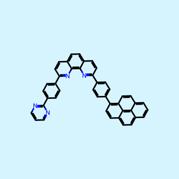 c1cnc(-c2ccc(-c3ccc4ccc5ccc(-c6ccc(-c7ccc8ccc9cccc%10ccc7c8c9%10)cc6)nc5c4n3)cc2)nc1